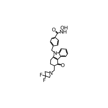 O=C(NO)c1ccc(Cn2c3c(c4ccccc42)C(=O)C(CN2CC(F)(F)C2)CC3)cc1